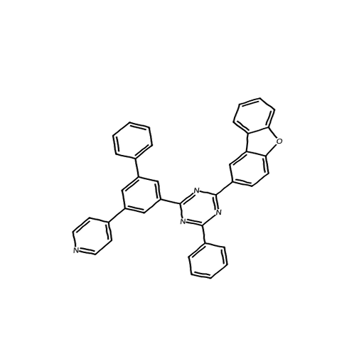 c1ccc(-c2cc(-c3ccncc3)cc(-c3nc(-c4ccccc4)nc(-c4ccc5oc6ccccc6c5c4)n3)c2)cc1